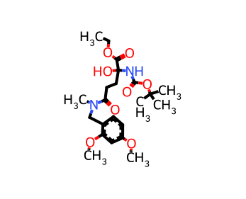 CCOC(=O)C(O)(CCC(=O)N(C)Cc1ccc(OC)cc1OC)NC(=O)OC(C)(C)C